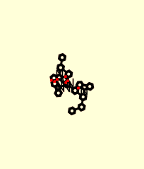 c1ccc(-c2cccc(-c3ccc(-n4c5ccccc5c5ccccc54)c(-c4ccc(-c5nc(-c6cccc(-c7cc(-c8ccccc8)ccc7-n7c8ccccc8c8ccccc87)c6)nc(-n6c7ccccc7c7ccccc76)n5)cc4)c3)c2)cc1